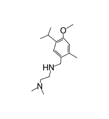 COc1cc(C)c(CNCCN(C)C)cc1C(C)C